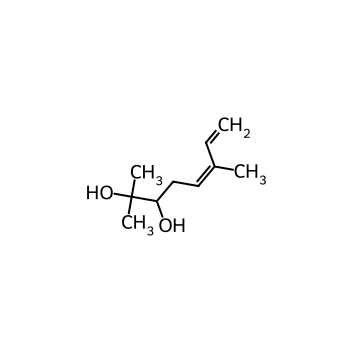 C=C/C(C)=C\CC(O)C(C)(C)O